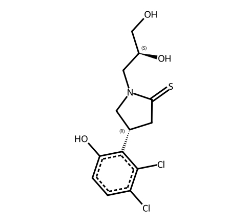 OC[C@@H](O)CN1C[C@@H](c2c(O)ccc(Cl)c2Cl)CC1=S